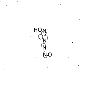 O=C1CCN1CCN1CCC(N2CCc3cnc(O)c4cccc2c34)C1